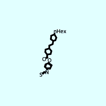 CCCCCCC1CCC(CCC2CCC(C(=O)Oc3ccc(N=C=S)cc3)CC2)CC1